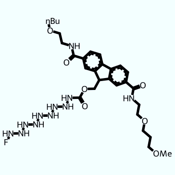 CCCCOCCNC(=O)c1ccc2c(c1)C(COC(=O)NNNNNNNNNF)c1cc(C(=O)NCCOCCCOC)ccc1-2